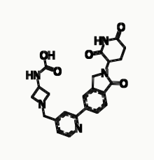 O=C(O)NC1CN(Cc2ccnc(-c3ccc4c(c3)CN(C3CCC(=O)NC3=O)C4=O)c2)C1